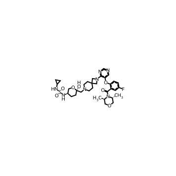 C[C@@H]1COC[C@@H](C)N1C(=O)c1cc(F)ccc1Oc1cncnc1N1CC2(CCN(C[C@@]3(O)CC[C@@H](NS(=O)(=O)NC4CC4)CO3)CC2)C1